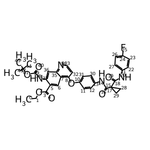 CCOC(=O)c1cc2c(Oc3ccc(NC(=O)C4(C(=O)Nc5ccc(F)cc5)CC4)cc3)ccnc2cc1NC(=O)OC(C)(C)C